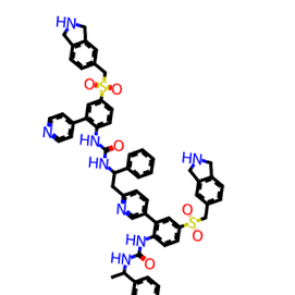 CC(NC(=O)Nc1ccc(S(=O)(=O)Cc2ccc3c(c2)CNC3)cc1-c1ccc(CC(NC(=O)Nc2ccc(S(=O)(=O)Cc3ccc4c(c3)CNC4)cc2-c2ccncc2)c2ccccc2)nc1)c1ccccc1